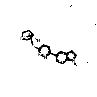 Cn1ccc2cc(-c3ccc(O[C@H]4CN5CCC4CC5)nn3)ccc21